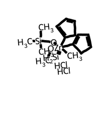 C[O][Zr]([CH3])(=[SiH2])([O][Si](C)(C)C)([C]1=CC=CC1)[C]1=CC=CC1.Cl.Cl